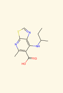 CCC(C)Nc1c(C(=O)O)c(C)nc2scnc12